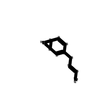 BrC=CCC1=CC2OC2C=C1